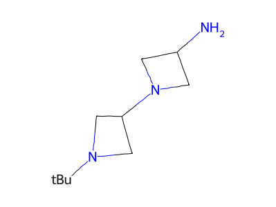 CC(C)(C)N1CC(N2CC(N)C2)C1